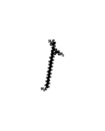 C=CC(=O)OCC(CCCCCCCCCCCCCCCCCCCCCCC)OC(=O)C=C